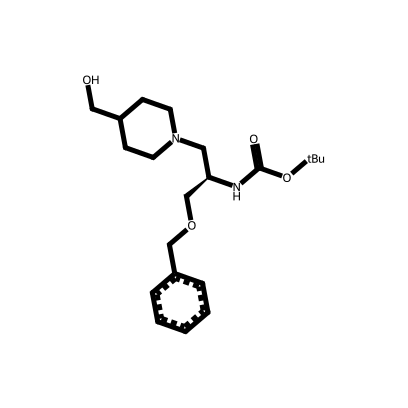 CC(C)(C)OC(=O)N[C@@H](COCc1ccccc1)CN1CCC(CO)CC1